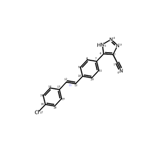 N#Cc1nn[nH]c1-c1ccc(/C=C/c2ccc(Cl)cc2)cc1